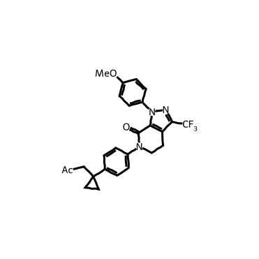 COc1ccc(-n2nc(C(F)(F)F)c3c2C(=O)N(c2ccc(C4(CC(C)=O)CC4)cc2)CC3)cc1